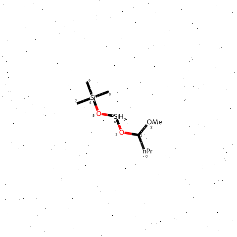 CCCC(OC)O[SiH2]O[Si](C)(C)C